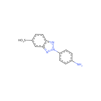 Nc1ccc(-n2nc3ccc(S(=O)(=O)O)cc3n2)cc1